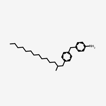 CCCCCCCCCCCCC(C)Cc1ccc(Cc2ccc(N)cc2)cc1